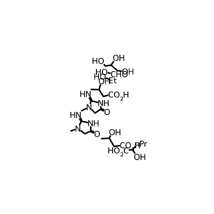 CC(O)CC(=O)O.CC(O)CC(=O)O.CCCC(O)C(=O)O.CCO.CN1CC(=O)NC1=N.CN1CC(=O)NC1=N.O=CO.OCC(O)CO